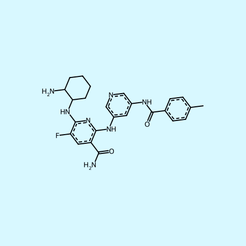 Cc1ccc(C(=O)Nc2cncc(Nc3nc(NC4CCCCC4N)c(F)cc3C(N)=O)c2)cc1